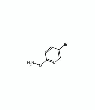 NOc1ccc(Br)cn1